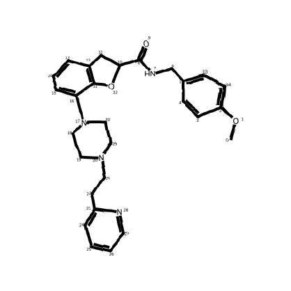 COc1ccc(CNC(=O)C2Cc3cccc(N4CCN(CCc5ccccn5)CC4)c3O2)cc1